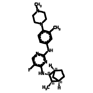 Cc1cc(Nc2ncc(F)c(N[C@@H]3[C@H]4CC[C@H](C4)[C@@H]3C)n2)ccc1N1CCN(C)CC1